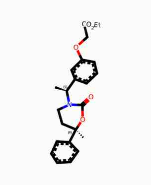 CCOC(=O)COc1cccc([C@H](C)N2CC[C@](C)(c3ccccc3)OC2=O)c1